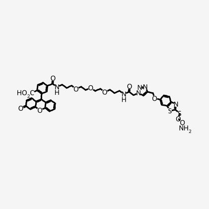 NOOSc1nc2ccc(OCc3cn(CC(=O)NCCCOCCOCCOCCCNC(=O)c4ccc(C(=O)O)c(-c5c6ccc(=O)cc-6oc6ccccc56)c4)nn3)cc2s1